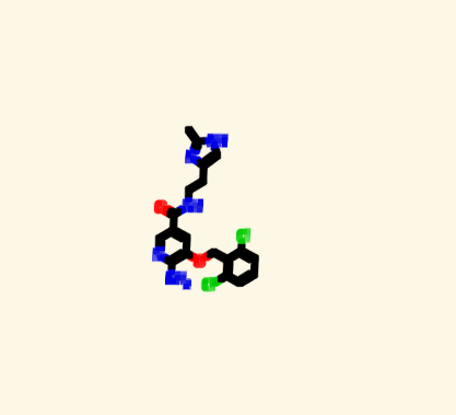 Cc1nc(CCNC(=O)c2cnc(N)c(OCc3c(Cl)cccc3Cl)c2)c[nH]1